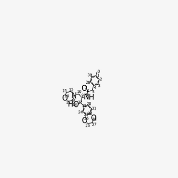 Cc1ccc(CC(=O)N[C@H](CN2CCOCC2)[C@H](O)c2ccc3c(c2)OCCO3)cc1